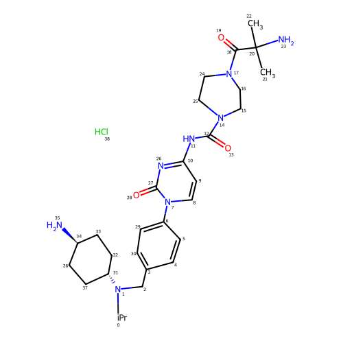 CC(C)N(Cc1ccc(-n2ccc(NC(=O)N3CCN(C(=O)C(C)(C)N)CC3)nc2=O)cc1)[C@H]1CC[C@H](N)CC1.Cl